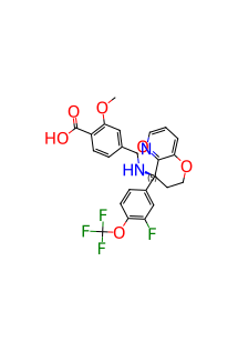 COc1cc(C(=O)N[C@]2(c3ccc(OC(F)(F)F)c(F)c3)CCOc3cccnc32)ccc1C(=O)O